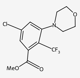 COC(=O)c1cc(Cl)cc(N2CCOCC2)c1C(F)(F)F